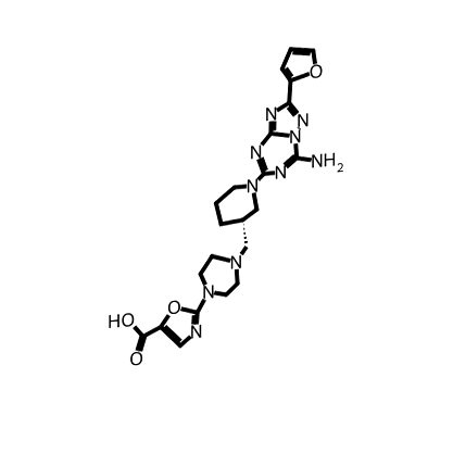 Nc1nc(N2CCC[C@@H](CN3CCN(c4ncc(C(=O)O)o4)CC3)C2)nc2nc(-c3ccco3)nn12